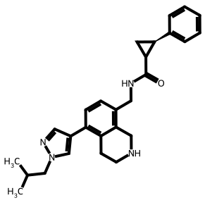 CC(C)Cn1cc(-c2ccc(CNC(=O)C3C[C@H]3c3ccccc3)c3c2CCNC3)cn1